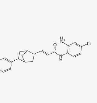 Nc1cc(Cl)ccc1NC(=O)/C=C/C1CC2CC1CC2c1ccccc1